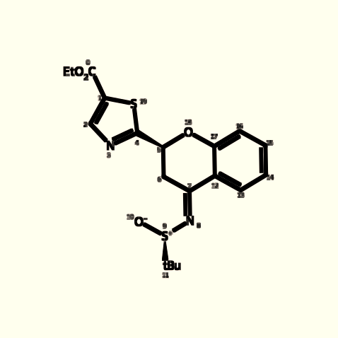 CCOC(=O)c1cnc([C@@H]2CC(=N[S@+]([O-])C(C)(C)C)c3ccccc3O2)s1